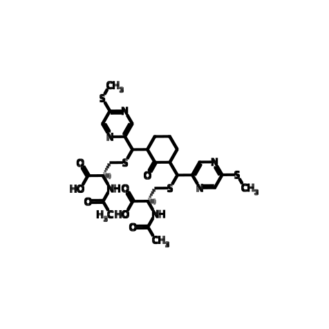 CSc1cnc(C(SC[C@H](NC(C)=O)C(=O)O)C2CCCC(C(SC[C@H](NC(C)=O)C(=O)O)c3cnc(SC)cn3)C2=O)cn1